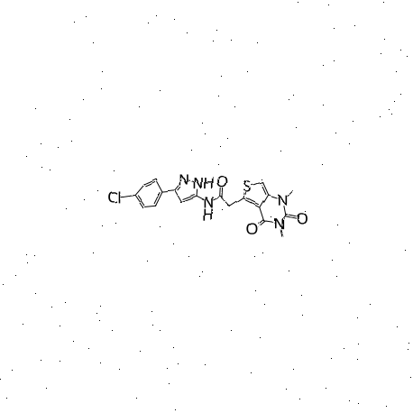 Cn1c(=O)c2c(CC(=O)Nc3cc(-c4ccc(Cl)cc4)n[nH]3)scc2n(C)c1=O